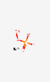 O=P([O-])([O-])OO.[Ra+2]